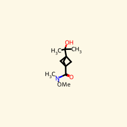 CON(C)C(=O)C12CC(C(C)(C)O)(C1)C2